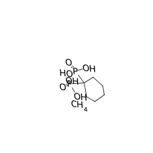 C.O=P(O)(O)C1(P(=O)(O)O)CCCCC1